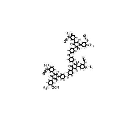 Cc1ccc(-n2c(=O)n(-c3ccc(Cc4ccc(-n5c(=O)n(-c6ccc(C)c(N=C=O)c6)c(=O)n(-c6ccc(C)c(N=C=O)c6)c5=O)cc4)cc3)c(=O)n(-c3ccc(Cc4ccc(-n5c(=O)n(-c6ccc(C)c(N=C=O)c6)c(=O)n(-c6ccc(C)c(OC#N)c6)c5=O)cc4)cc3)c2=O)cc1N=C=O